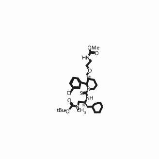 COC(=O)NCCOC[C@@H]1CCCN(C(=S)N[C@@H](CC2CCCCC2)CN(C)C(=O)OC(C)(C)C)C1c1cccc(Cl)c1